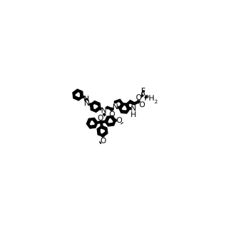 COc1ccc(C(OCN(CC(=O)N2CCc3c2ccc2[nH]c(C(=O)OP(F)P)cc32)c2ccc(N=Nc3ccccc3)cc2)(c2ccccc2)c2ccc(OC)cc2)cc1